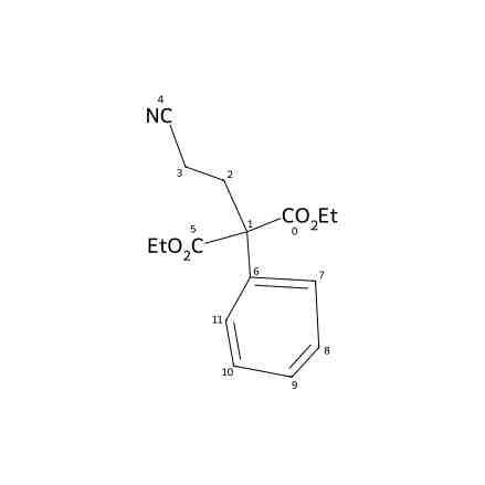 CCOC(=O)C(CCC#N)(C(=O)OCC)c1ccccc1